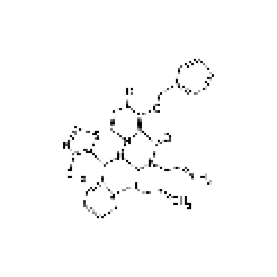 C=CCOc1ccccc1C(c1scnc1C)N1CN(CC=C)C(=O)c2c(OCc3ccccc3)c(=O)ccn21